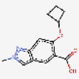 Cn1cc2cc(C(=O)O)c(OC3CCC3)cc2n1